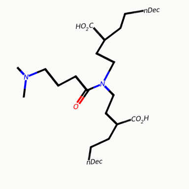 CCCCCCCCCCCCC(CCN(CCC(CCCCCCCCCCCC)C(=O)O)C(=O)CCCN(C)C)C(=O)O